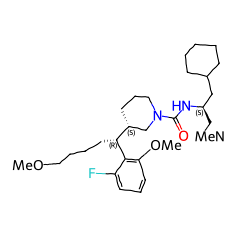 CNC[C@H](CC1CCCCC1)NC(=O)N1CCC[C@@H]([C@@H](CCCCOC)c2c(F)cccc2OC)C1